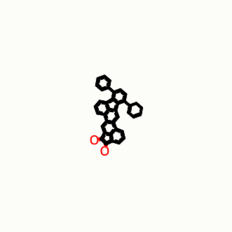 O=c1c(=O)c2cc3c(cc4c5c(C6=CC=CCC6)ccc(-c6ccccc6)c5c5cccc3c45)c3cccc1c23